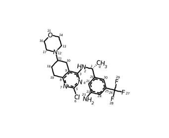 C[C@@H](Nc1nc(Cl)nc2c1CC(N1CCOCC1)CC2)c1cc(N)cc(C(F)(F)F)c1